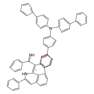 N=C(/C(=C1\NC(c2ccccc2)=Cc2cccc(-c3ccc(-c4ccc(N(c5ccc(-c6ccccc6)cc5)c5ccc(-c6ccccc6)cc5)cc4)cc3)c21)c1ccccc1)c1ccccc1